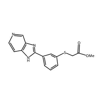 COC(=O)CSc1cccc(-c2nc3cnccc3[nH]2)c1